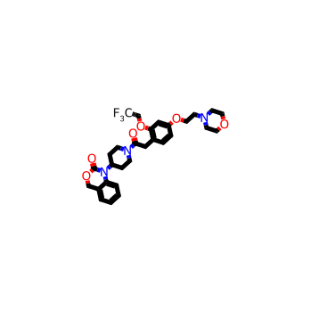 O=C(Cc1ccc(OCCN2CCOCC2)cc1OCC(F)(F)F)N1CCC(N2C(=O)OCc3ccccc32)CC1